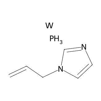 C=CCn1ccnc1.P.[W]